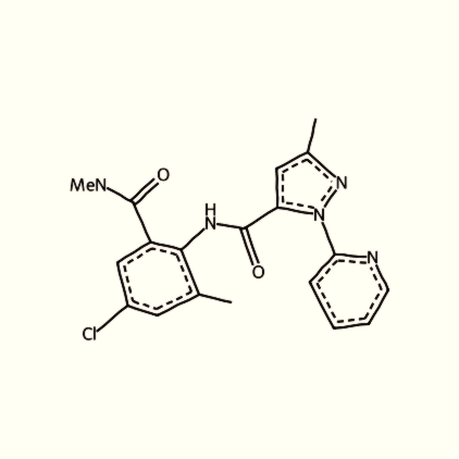 CNC(=O)c1cc(Cl)cc(C)c1NC(=O)c1cc(C)nn1-c1ccccn1